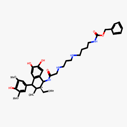 COC[C@@H]1C(NC(=O)CNCCCNCCCCNC(=O)OCc2ccccc2)c2cc(O)c(O)cc2C(c2cc(OC)c(O)c(OC)c2)C1C=O